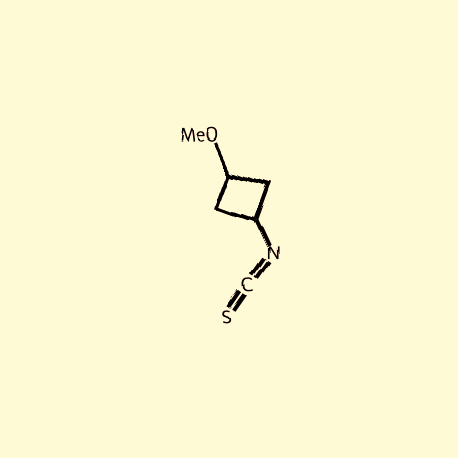 COC1CC(N=C=S)C1